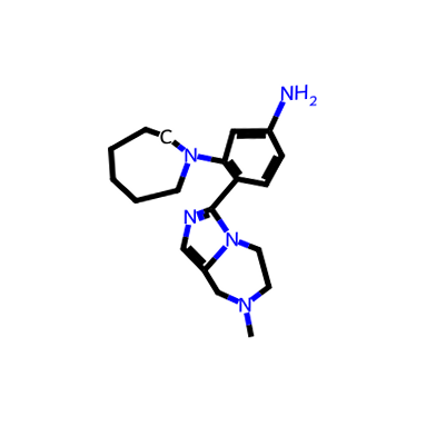 CN1CCn2c(cnc2-c2ccc(N)cc2N2CCCCCC2)C1